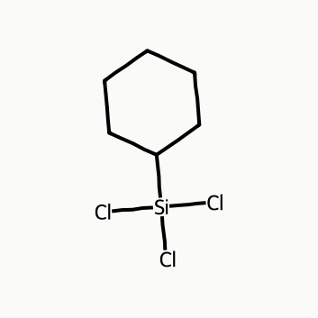 Cl[Si](Cl)(Cl)C1CCCCC1